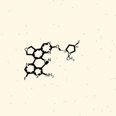 CN1C[C@H](F)C[C@H]1COc1ncc2c3c(c(-c4ncc(F)c5sc(N)c(C#N)c45)c(F)c2n1)COC3